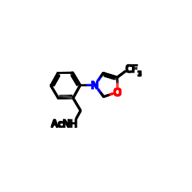 CC(=O)NCc1ccccc1N1C=C(C(F)(F)F)OC1